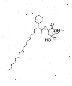 CCCCCCCSCCCCCCCC(C1CCCCC1)C(C)OC(CP(=O)(O)OCCC)C(=O)O